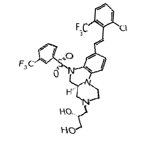 O=S(=O)(c1cccc(C(F)(F)F)c1)N1C[C@@H]2CN(C[C@@H](O)CO)CCN2c2ccc(/C=C/c3c(Cl)cccc3C(F)(F)F)cc21